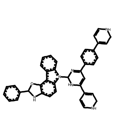 C1=CC(C2=CC(c3ccc(C4=CCNC=C4)cc3)=NC(n3c4ccccc4c4c5c(ccc43)NC(c3ccccc3)O5)N2)=CCN1